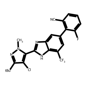 Cn1nc(C(C)(C)C)c(Cl)c1-c1nc2cc(-c3c(F)cccc3C#N)cc(C(F)(F)F)c2[nH]1